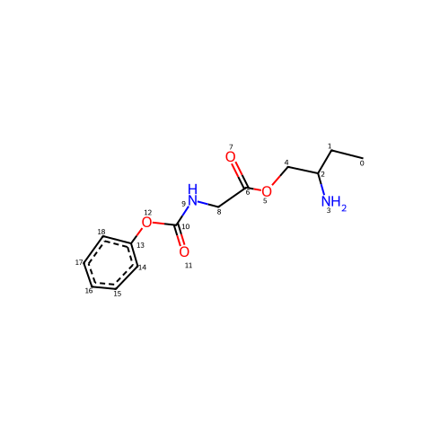 CCC(N)COC(=O)CNC(=O)Oc1ccccc1